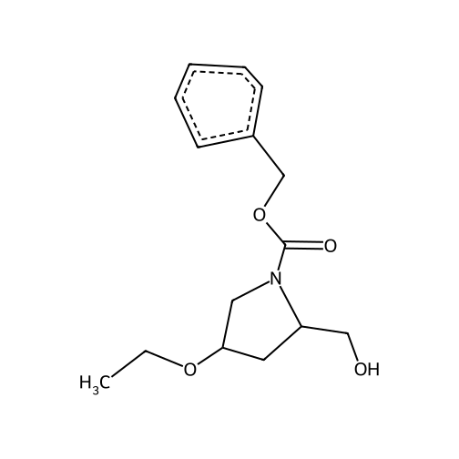 CCOC1CC(CO)N(C(=O)OCc2ccccc2)C1